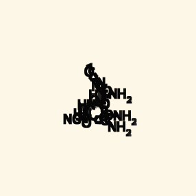 Cc1nc(-c2ccc(OC3(C)CC3)cc2)nc(C)c1C(=O)N[C@@H](CCN)C(=O)N(C)[C@@H]1C(=O)N[C@@H](C)C(=O)N[C@H](C(=O)NCC#N)Cc2ccc(OCCN)c(c2)-c2cc1ccc2OCCN